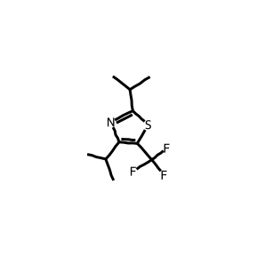 CC(C)c1nc(C(C)C)c(C(F)(F)F)s1